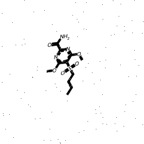 CCCCS(=O)(=O)c1c(OC)nc(C(N)=O)nc1OC